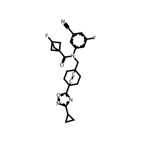 N#Cc1cc(F)cc(N(CC23CCC(c4nc(C5CC5)no4)(CC2)CC3)C(=O)C23CC(F)(C2)C3)c1